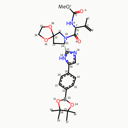 C=C(C)[C@H](NC(=O)OC)C(=O)N1CC2(C[C@H]1c1ncc(-c3ccc(B4OC(C)(C)C(C)(C)O4)cc3)[nH]1)OCCO2